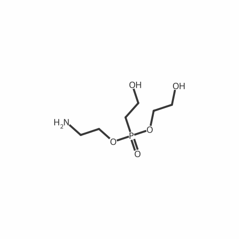 NCCOP(=O)(CCO)OCCO